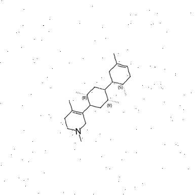 CC1=CC[C@H](C)C(C2C[C@@H](C)C(C3=C(C)CCN(C)C3)C[C@H]2C)C1